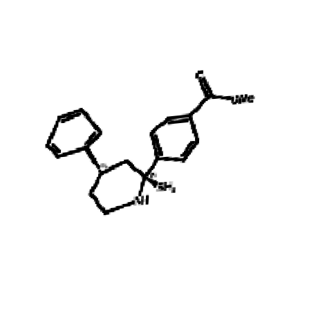 COC(=O)c1ccc([C@@]2([SiH3])C[C@H](c3ccccc3)CCN2)cc1